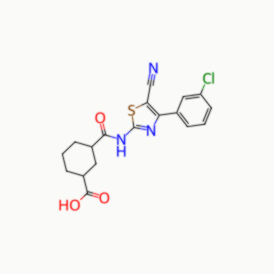 N#Cc1sc(NC(=O)C2CCCC(C(=O)O)C2)nc1-c1cccc(Cl)c1